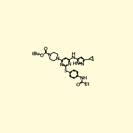 CCC(=O)Nc1ccc(Sc2nc(Nc3cc(C4CC4)n[nH]3)cc(N3CCN(C(=O)OC(C)(C)C)CC3)n2)cc1